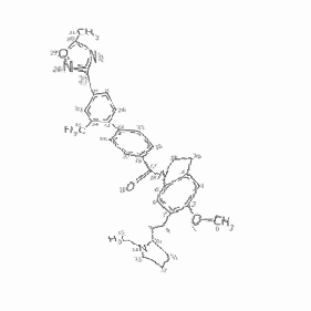 COc1cc2c(cc1CCC1CCCN1C)N(C(=O)c1ccc(-c3ccc(-c4noc(C)n4)cc3C)cc1)CC2